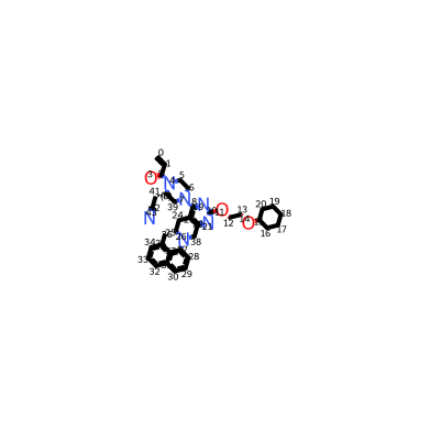 C=CC(=O)N1CCN(c2nc(OCCOC3CCCCC3)nc3c2CCN(c2cccc4cccc(C)c24)C3)C[C@@H]1CC#N